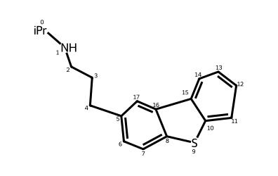 CC(C)NCCCc1ccc2sc3ccccc3c2c1